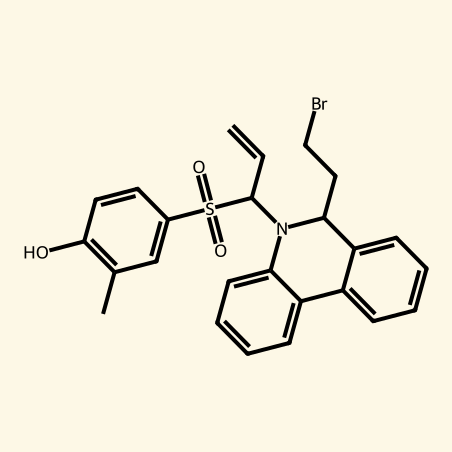 C=CC(N1c2ccccc2-c2ccccc2C1CCBr)S(=O)(=O)c1ccc(O)c(C)c1